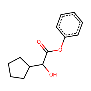 O=C(Oc1ccccc1)C(O)C1CCCC1